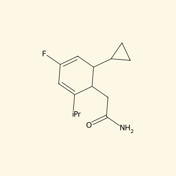 CC(C)C1=CC(F)=CC(C2CC2)C1CC(N)=O